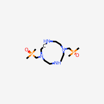 CP(C)(=O)CN1CCNCCN(CP(C)(C)=O)CCNCC1